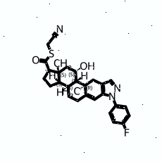 C[C@@]12C[C@H](O)[C@H]3[C@@H](CCC4=Cc5c(cnn5-c5ccc(F)cc5)C[C@@]43C)[C@@H]1CC[C]2C(=O)SCC#N